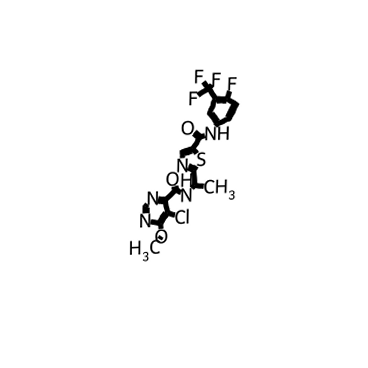 COc1ncnc(C(=O)NC(C)c2ncc(C(=O)Nc3ccc(F)c(C(F)(F)F)c3)s2)c1Cl